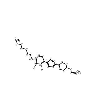 C/C=C\CC1CCC(c2ccc(-c3ccc(OCCCCCCC)c(F)c3F)cc2)CC1